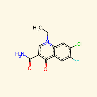 CCn1cc(C(N)=O)c(=O)c2cc(F)c(Cl)cc21